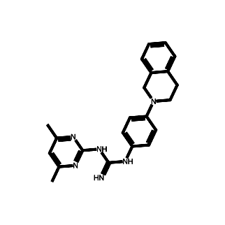 Cc1cc(C)nc(NC(=N)Nc2ccc(N3CCc4ccccc4C3)cc2)n1